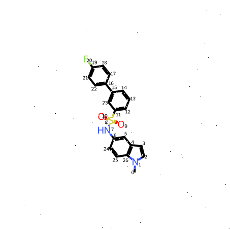 Cn1ccc2cc(NS(=O)(=O)c3cccc(-c4ccc(F)cc4)c3)ccc21